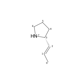 CC=C[C@H]1CCCN1